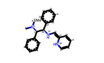 CSN(C)[C@H](c1ccccc1)[C@H](N/C=C1/C=CC=CN1)c1ccccc1